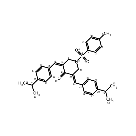 Cc1ccc(S(=O)(=O)N2C/C(=C/c3ccc(C(C)C)cc3)C(=O)/C(=C/c3ccc(C(C)C)cc3)C2)cc1